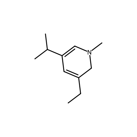 CCC1=CC(C(C)C)=CN(C)C1